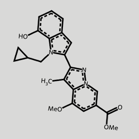 COC(=O)c1cc(OC)c2c(C)c(-c3cc4cccc(O)c4n3CC3CC3)nn2c1